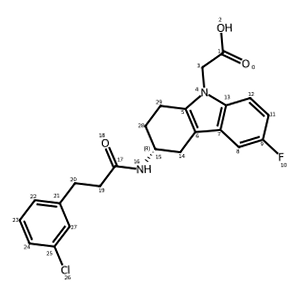 O=C(O)Cn1c2c(c3cc(F)ccc31)C[C@H](NC(=O)CCc1cccc(Cl)c1)CC2